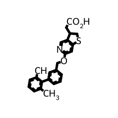 Cc1cccc(C)c1-c1cccc(COc2cc3c(cn2)C(CC(=O)O)CS3)c1